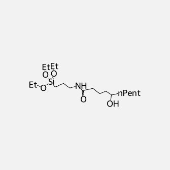 CCCCCC(O)CCCC(=O)NCCC[Si](OCC)(OCC)OCC